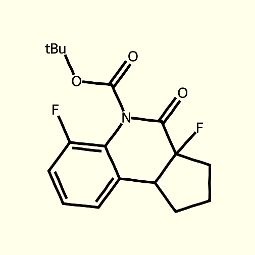 CC(C)(C)OC(=O)N1C(=O)C2(F)CCCC2c2cccc(F)c21